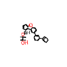 CC(C)(O)C(C)(C)OBc1cccc2oc3ccc(-c4cccc(C5CC6CCC5C6)c4)cc3c12